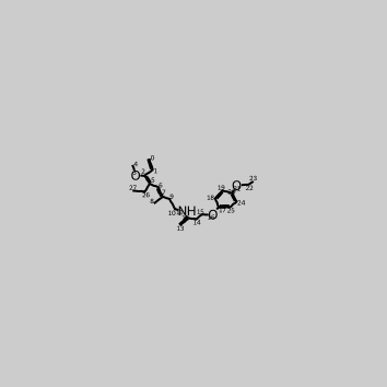 C=C/C(OC)=C(\C=C(/C)CCNC(=C)CCOc1ccc(OCC)cc1)CC